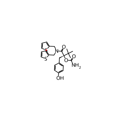 CC(C)(C)[C@](Cc1ccc(O)cc1)(OC(N)=O)C(=O)N(Cc1cccs1)Cc1cccs1